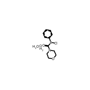 O.O.O=C(B(Cl)c1ccccc1)N1CCOCC1